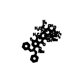 CCCCOc1c(N(Cc2ccccc2)Cc2ccccc2)cc(F)c2c1C(=O)C1=C(O)[C@]3(O[Si](C)(C)C(C)(C)C)C(=O)C(C(N)=O)=C(O)[C@@H](N(C)C)[C@@H]3C[C@]1(C)C2